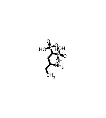 CCC(N)CC(P(=O)(O)O)P(=O)(O)O